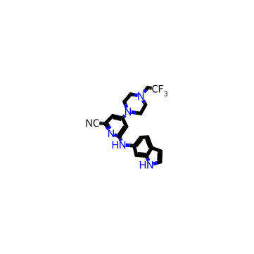 N#Cc1cc(N2CCN(CC(F)(F)F)CC2)cc(Nc2ccc3cc[nH]c3c2)n1